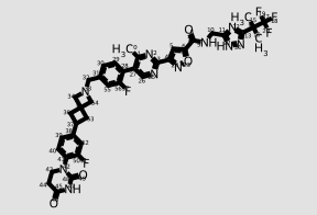 Cc1nc(-c2cc(C(=O)NCc3nc(C(C)(C)C(F)(F)F)n[nH]3)on2)ncc1-c1ccc(CN2CC3(CC(c4ccc(N5CCC(=O)NC5=O)c(F)c4)C3)C2)cc1F